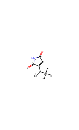 CCC(C1=CC(=O)NC1=O)[Si](C)(C)C